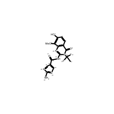 COc1c(O)ccc2c(=O)n(C(C)(F)F)c(NC(=O)c3cnc(N)nc3)nc12